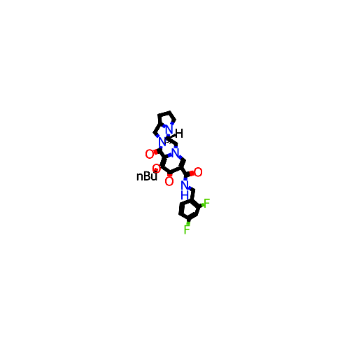 CCCCOc1c2n(cc(C(=O)NCc3ccc(F)cc3F)c1=O)C[C@@H]1N(CC3CCCN31)C2=O